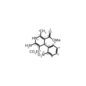 CCOC(=O)C1=C(N)NC(C)=C(C(=O)OC)C1c1ccccc1[N+](=O)[O-]